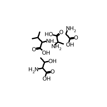 CC(C)C(N)C(=O)O.CC(N)C(=O)O.CC(O)C(N)C(=O)O.NCC(=O)O